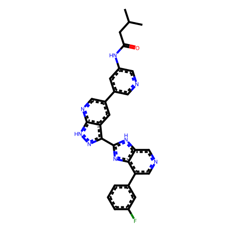 CC(C)CC(=O)Nc1cncc(-c2cnc3[nH]nc(-c4nc5c(-c6cccc(F)c6)cncc5[nH]4)c3c2)c1